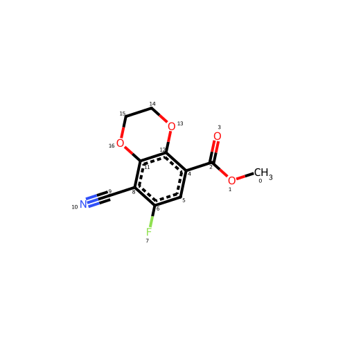 COC(=O)c1cc(F)c(C#N)c2c1OCCO2